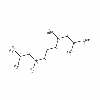 CCCCCCCCCCC(O)CN(CCCC)CCCN(CC)CC(C)O